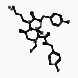 NCCC[C@H]1C(=O)N(Cc2ccc(F)cc2)C[C@H]2N1C(=O)CN(CF)N2C(=O)NCc1ccc(F)cc1